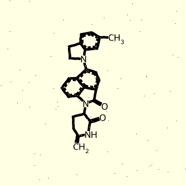 C=C1CCC(N2C(=O)c3ccc(N4CCc5ccc(C)cc54)c4cccc2c34)C(=O)N1